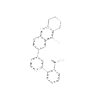 NC(=O)c1ccccc1-c1cc(-c2ccc3nc4c(c(N)c3c2)CCCC4)ccn1